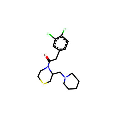 O=C(Cc1ccc(Cl)c(Cl)c1)N1CCSCC1CN1CCCCC1